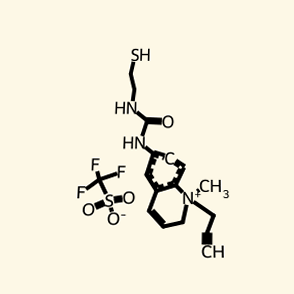 C#CC[N+]1(C)CC=Cc2cc(NC(=O)NCCS)ccc21.O=S(=O)([O-])C(F)(F)F